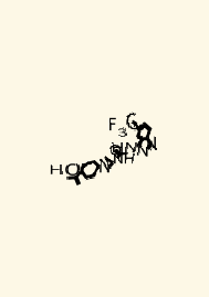 C=C(C)[C@]1(O)CC[C@H](N2CC(NC(=O)CNc3ncnc4ccc(C(F)(F)F)cc34)C2)CC1